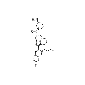 CCCCN(C)/C(=C\c1ccc(F)cc1)c1nc2cc(C(=O)N3CCCC(N)C3)cc3c2n1CCC3